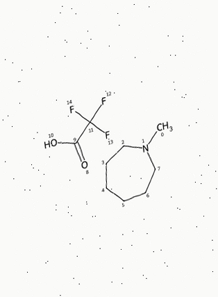 CN1CCCCCC1.O=C(O)C(F)(F)F